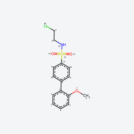 COc1ccccc1-c1ccc(S(=O)(=O)NCCCl)cc1